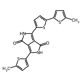 Cc1ccc(C2=C3C(=O)NC(c4ccc(-c5ccc(C)s5)s4)=C3C(=O)N2)s1